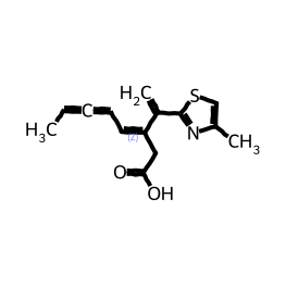 C=C(/C(=C\C=C=CC)CC(=O)O)c1nc(C)cs1